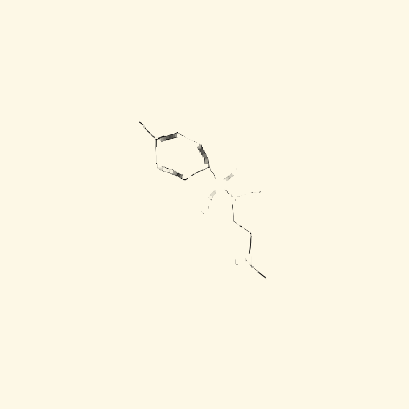 CNCCN(C)S(=O)(=O)c1ccc(C)cc1